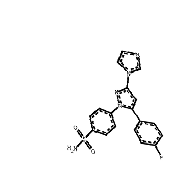 NS(=O)(=O)c1ccc(-n2nc(-n3ccnc3)cc2-c2ccc(F)cc2)cc1